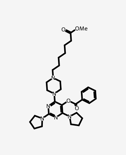 COC(=O)CCCCCCN1CCN(c2nc(N3CCCC3)nc(N3CCCC3)c2OC(=O)c2ccccc2)CC1